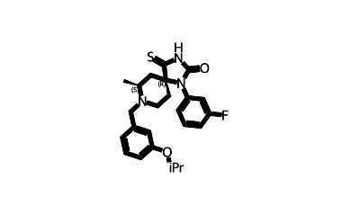 CC(C)Oc1cccc(CN2CC[C@@]3(C[C@@H]2C)C(=S)NC(=O)N3c2cccc(F)c2)c1